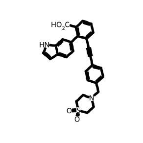 O=C(O)c1cccc(C#Cc2ccc(CN3CCS(=O)(=O)CC3)cc2)c1-c1ccc2cc[nH]c2c1